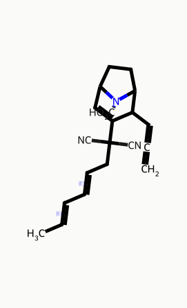 C=C=CC1C(C(C#N)(C#N)C/C=C/C=C/C)=CC2CCC1N2C(=O)O